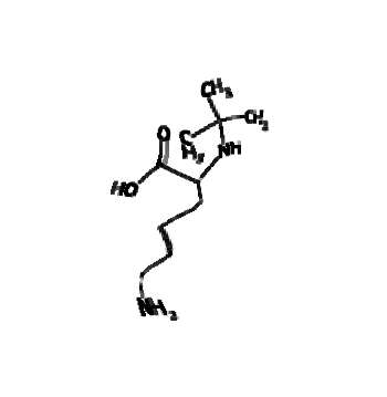 CC(C)(C)NC(CCCCN)C(=O)O